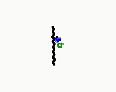 CCCCCCCCCCC(CCCCC)[N+](C)(C)C.[Cl-]